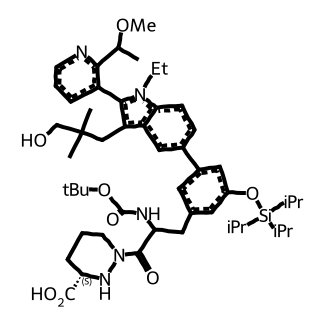 CCn1c(-c2cccnc2C(C)OC)c(CC(C)(C)CO)c2cc(-c3cc(CC(NC(=O)OC(C)(C)C)C(=O)N4CCC[C@@H](C(=O)O)N4)cc(O[Si](C(C)C)(C(C)C)C(C)C)c3)ccc21